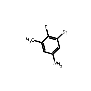 CCc1cc(N)cc(C)c1F